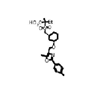 CCC(C)(C(=O)O)S(=O)(=O)C[C@H]1CCC[C@@H](OCc2nc(-c3ccc(C)cc3)oc2C)C1